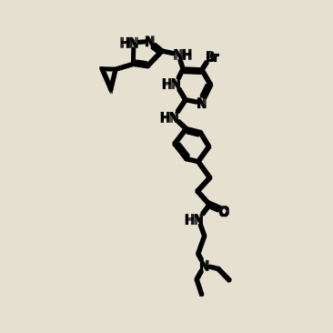 CCN(CC)CCNC(=O)CCC1C=CC(NC2N=CC(Br)=C(Nc3cc(C4CC4)[nH]n3)N2)=CC1